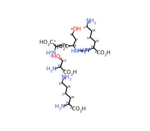 CC(C)C(N)C(=O)O.CCCNC(CCO)C(=O)O.NC(CO)C(=O)O.NCCCCC(N)C(=O)O.NCCCCC(N)C(=O)O